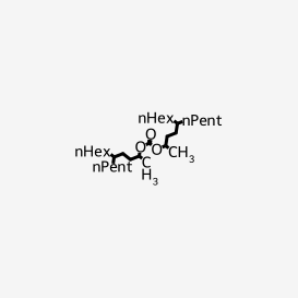 CCCCCCC(CCCCC)CCC(C)OC(=O)OC(C)CCC(CCCCC)CCCCCC